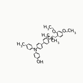 CCOc1ccc(C[CH2][Ge]([CH3])([CH3])[c]2ccc(-c3ccc(N(c4ccc(C)cc4)c4ccc(O)cc4)cc3)cc2)c(OCC)c1